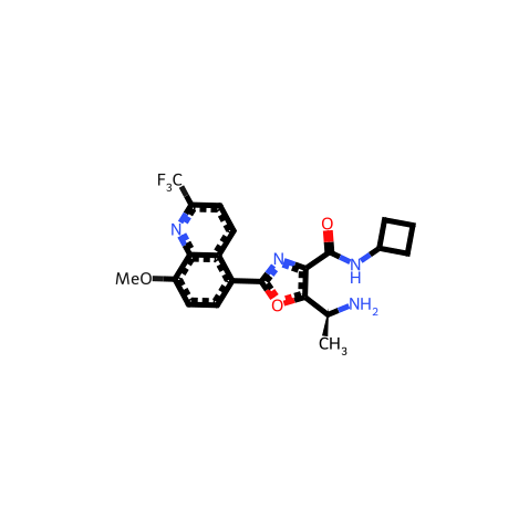 COc1ccc(-c2nc(C(=O)NC3CCC3)c([C@H](C)N)o2)c2ccc(C(F)(F)F)nc12